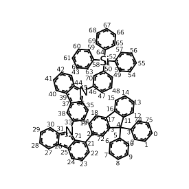 c1ccc(C2(c3ccccc3)c3ccccc3-c3ccc(-c4cccc5c6ccccc6n(-c6ccc7c(c6)c6ccccc6n7-c6cccc([Si](c7ccccc7)(c7ccccc7)c7ccccc7)c6)c45)cc32)cc1